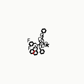 CC(C)(C)OC(=O)N1CC(COc2ccccc2)OCC1[C@H](OCc1ccccc1)[C@H](Cc1cc(F)cc(F)c1)N(Cc1ccccc1)Cc1ccccc1